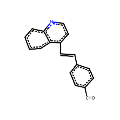 O=Cc1ccc(C=Cc2ccnc3ccccc23)cc1